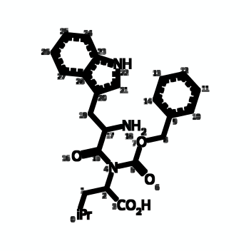 CC(C)CC(C(=O)O)N(C(=O)OCc1ccccc1)C(=O)C(N)Cc1c[nH]c2ccccc12